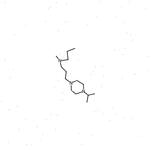 CCCN(C)CCCN1CCN(C(C)C)CC1